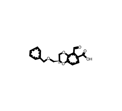 O=Cc1c(C(=O)O)ccc2c1OC[C@H](COCc1ccccc1)O2